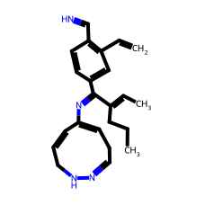 C=Cc1cc(C(=N/C2=C/C/C=N\NC/C=C\2)/C(=C/C)CCC)ccc1C=N